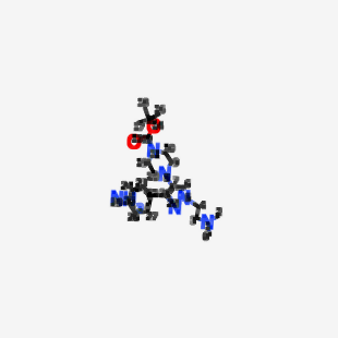 CN(C)CCn1cc(N2CCN(C(=O)OC(C)(C)C)CC2)c(-c2ccccc2)n1.N